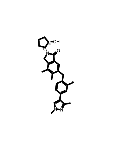 Cc1nn(C)cc1-c1ccc(Cc2cc3c(c(C)c2C)CN([C@@H]2CCC[C@H]2O)C3=O)c(F)c1